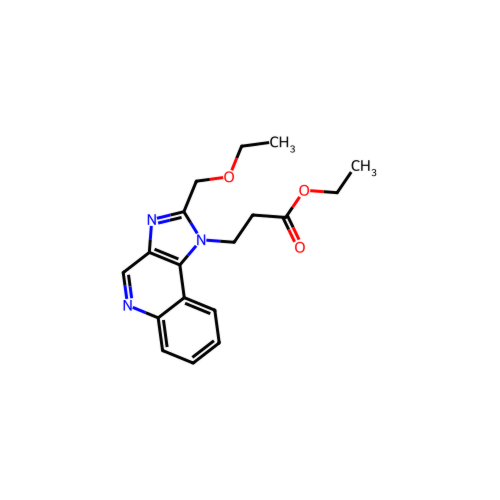 CCOCc1nc2cnc3ccccc3c2n1CCC(=O)OCC